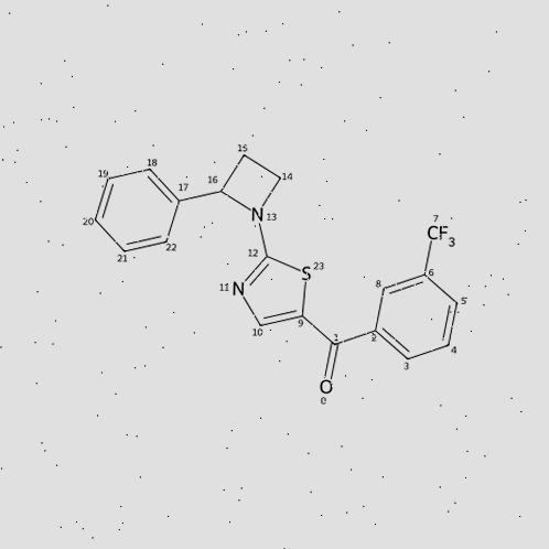 O=C(c1cccc(C(F)(F)F)c1)c1cnc(N2CCC2c2ccccc2)s1